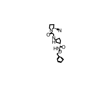 N#C[C@@H]1CCCN1C(=O)CN[C@H]1CC[C@H](C(=O)NOCc2ccccc2)C1